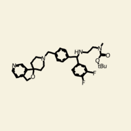 CN(CCNC(c1ccc(CN2CCC3(CC2)OCc2ccncc23)cc1)c1ccc(F)c(F)c1)C(=O)OC(C)(C)C